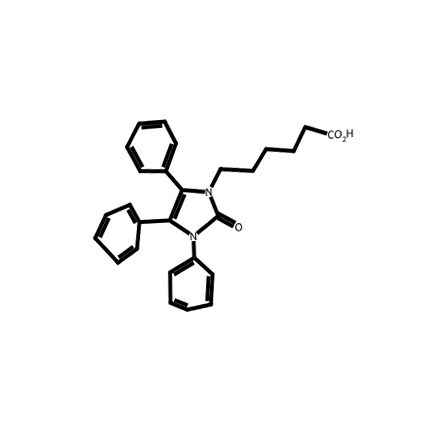 O=C(O)CCCCCn1c(-c2ccccc2)c(-c2ccccc2)n(-c2ccccc2)c1=O